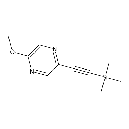 COc1cnc(C#C[Si](C)(C)C)cn1